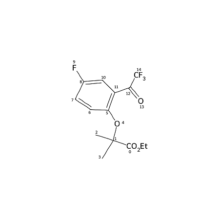 CCOC(=O)C(C)(C)Oc1ccc(F)cc1C(=O)C(F)(F)F